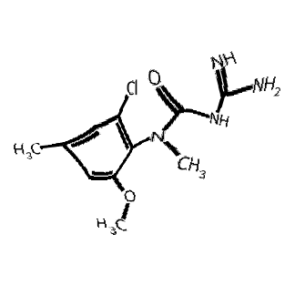 COc1cc(C)cc(Cl)c1N(C)C(=O)NC(=N)N